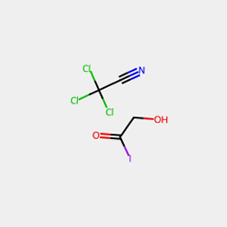 N#CC(Cl)(Cl)Cl.O=C(I)CO